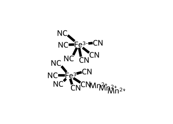 N#[C][Fe-3]([C]#N)([C]#N)([C]#N)([C]#N)[C]#N.N#[C][Fe-3]([C]#N)([C]#N)([C]#N)([C]#N)[C]#N.[Mn+2].[Mn+2].[Mn+2]